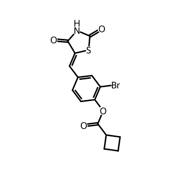 O=C1NC(=O)C(=Cc2ccc(OC(=O)C3CCC3)c(Br)c2)S1